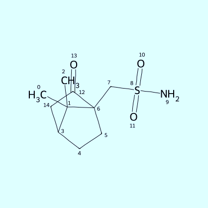 CC1(C)C2CCC1(CS(N)(=O)=O)C(=O)C2